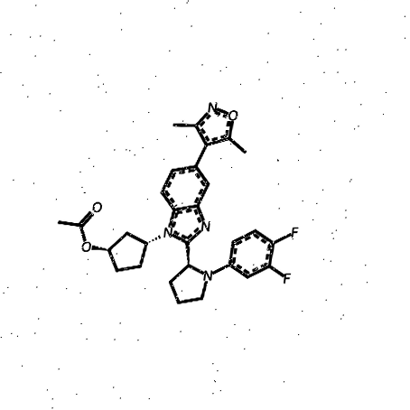 CC(=O)O[C@@H]1CC[C@@H](n2c([C@@H]3CCCN3c3ccc(F)c(F)c3)nc3cc(-c4c(C)noc4C)ccc32)C1